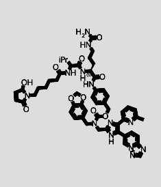 Cc1cccc(-c2nc(CN(Cc3ccc4c(c3)OCO4)C(=O)OCc3ccc(NC(=O)[C@H](CCCNC(N)=O)NC(=O)C(NC(=O)CCCCCN4C(=O)C=CC4O)C(C)C)cc3)[nH]c2-c2ccc3ncnn3c2)n1